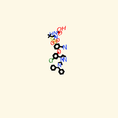 CC(C)(C)c1sc(S(=O)(=O)c2ccc(Oc3ccc(Cl)cc3-c3ccnn3C3CN(C(c4ccccc4)c4ccccc4)C3)c(C#N)c2)nc1NC(=O)O